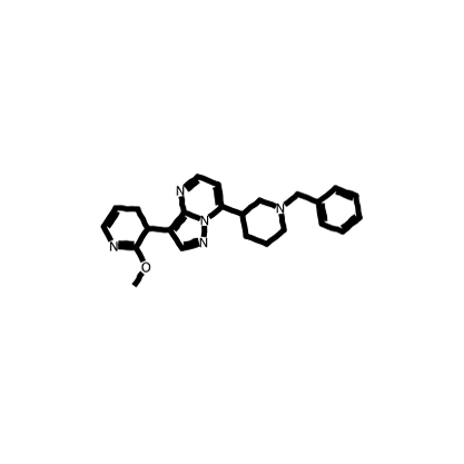 COC1=NC=CCC1c1cnn2c(C3CCCN(Cc4ccccc4)C3)ccnc12